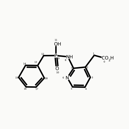 O=C(O)Cc1cccnc1NP(=O)(O)Cc1ccccc1